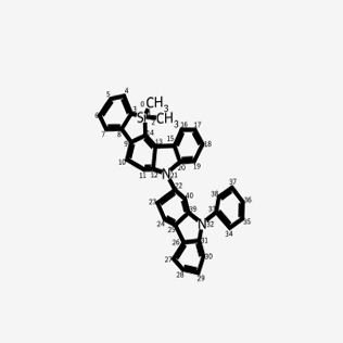 C[Si]1(C)c2ccccc2-c2ccc3c(c21)c1ccccc1n3-c1ccc2c3ccccc3n(-c3ccccc3)c2c1